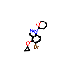 Brc1ccc2c(cnn2C2CCCCO2)c1OC1CC1